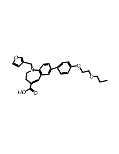 CCCOCCOc1ccc(-c2ccc3c(c2)C=C(C(=O)O)CCN3Cc2ccoc2)cc1